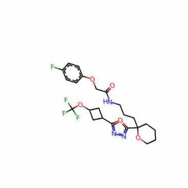 O=C(COc1ccc(F)cc1)NCCCC1(c2nnc(C3CC(OC(F)(F)F)C3)o2)CCCCO1